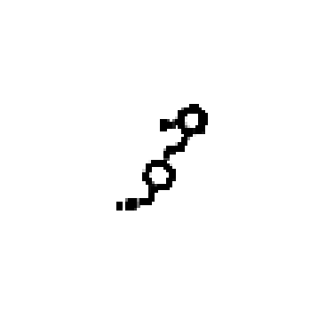 C#CCN1CCC(/C=C/c2ccccc2F)CC1